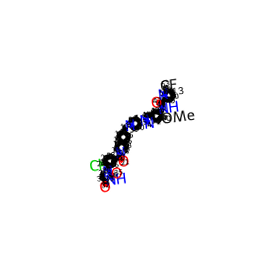 COc1cc2nn(C3CCN(CC4CCC5(CC4)CCN(C(=O)c4ccc(Cl)c(N6CCC(=O)NC6=O)c4)CC5)CC3)cc2cc1NC(=O)c1cccc(C(F)(F)F)n1